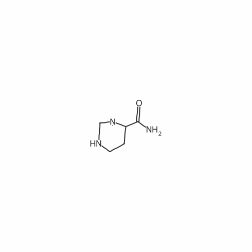 NC(=O)C1CCNC[N]1